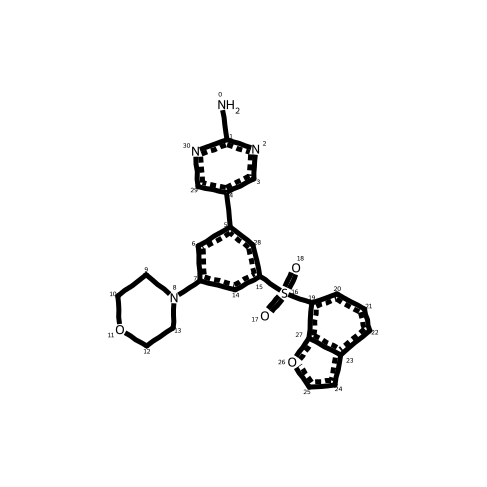 Nc1ncc(-c2cc(N3CCOCC3)cc(S(=O)(=O)c3cccc4ccoc34)c2)cn1